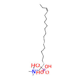 CC/C=C\CCCCCCCCCCCCCCC(O)(C[N+](C)(C)C)P(=O)(O)O